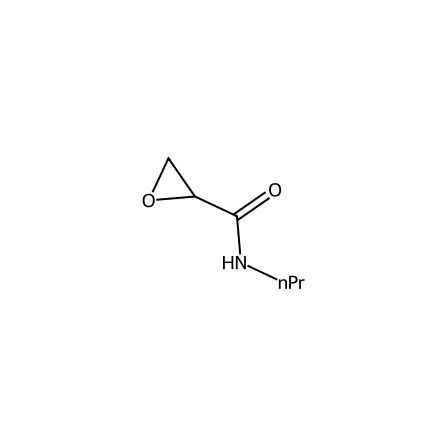 CCCNC(=O)C1CO1